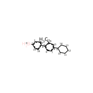 Bc1ccc(-c2ccc(C3CCCCC3)cc2C)cc1